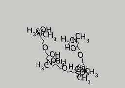 CN(C)CC(O)COCCC[Si](C)(C)O[Si](C)(C)CCCOCC(O)C[N+](C)(C)CC(O)COCCC[Si](C)(C)O